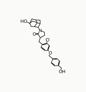 O=C1C(Cc2ccc(OCc3ccc(CO)cc3)cc2Cl)CCN1C1C2CC3CC1CC(O)(C3)C2